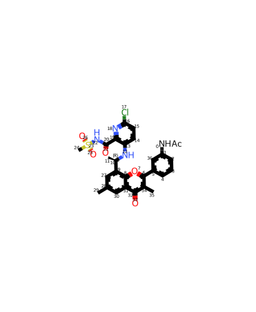 CC(=O)Nc1cccc(-c2oc3c([C@@H](C)Nc4ccc(Cl)nc4C(=O)NS(C)(=O)=O)cc(C)cc3c(=O)c2C)c1